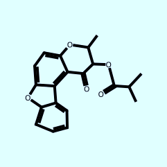 CC(C)C(=O)OC1C(=O)c2c(ccc3oc4ccccc4c23)OC1C